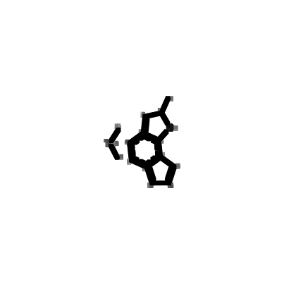 CC1C=c2ccc3c(c2O1)C=CC=3.[CH3][Ti][CH3]